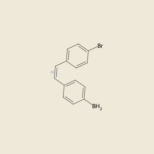 Bc1ccc(/C=C\c2ccc(Br)cc2)cc1